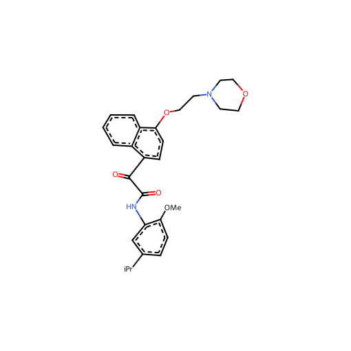 COc1ccc(C(C)C)cc1NC(=O)C(=O)c1ccc(OCCN2CCOCC2)c2ccccc12